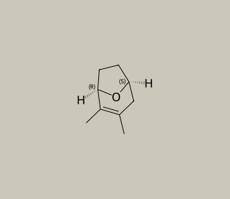 CC1=C(C)[C@H]2CC[C@@H](C1)O2